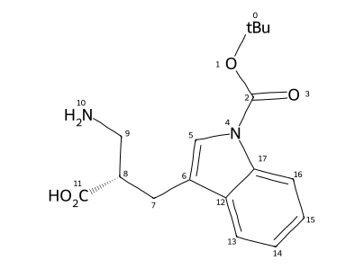 CC(C)(C)OC(=O)n1cc(C[C@@H](CN)C(=O)O)c2ccccc21